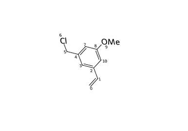 C=Cc1cc(CCl)cc(OC)c1